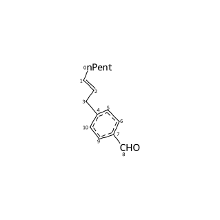 CCCCCC=CCc1ccc(C=O)cc1